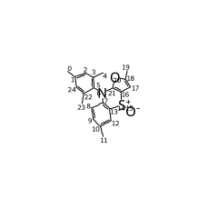 Cc1cc(C)c(N2c3ccc(C)cc3[S+]([O-])c3cc(C)oc32)c(C)c1